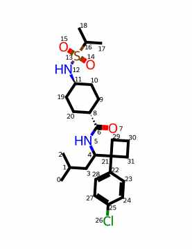 CC(C)CC(NC(=O)[C@H]1CC[C@H](NS(=O)(=O)C(C)C)CC1)C1(c2ccc(Cl)cc2)CCC1